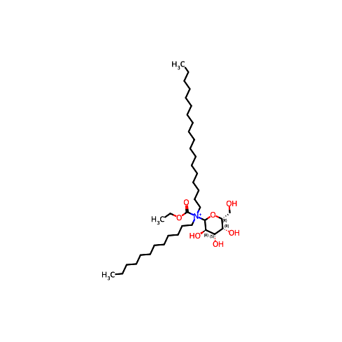 CCCCCCCCCCCCCCCCCC[N+](CCCCCCCCCCCC)(C(=O)OCC)C1O[C@H](CO)[C@H](O)[C@H](O)[C@H]1O